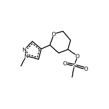 Cn1cc(C2CC(OS(C)(=O)=O)CCO2)cn1